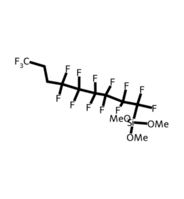 CO[Si](OC)(OC)C(F)(F)C(F)(F)C(F)(F)C(F)(F)C(F)(F)C(F)(F)CCC(F)(F)F